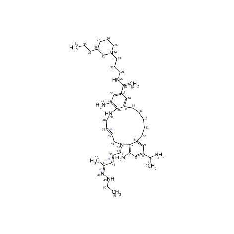 C=C(N)c1cc(N)c2c(c1)CCCCCc1cc(C(=C)NCCCN3CCCC(CCC)C3)cc(N)c1NC/C=C/CN2C/C=C/C(C)=N\NCC